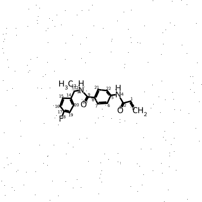 C=CC(=O)Nc1ccc(C(=O)N[C@@H](C)c2ccc(F)cc2)cc1